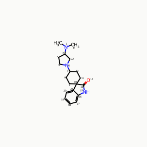 CN(C)C1CCN(C2CCC3(CC2)C(=O)Nc2ccccc23)C1